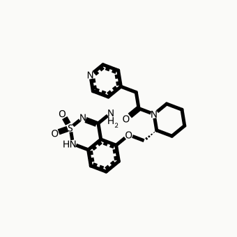 NC1=NS(=O)(=O)Nc2cccc(OC[C@H]3CCCCN3C(=O)Cc3ccncc3)c21